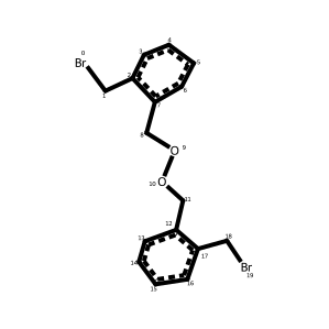 BrCc1ccccc1COOCc1ccccc1CBr